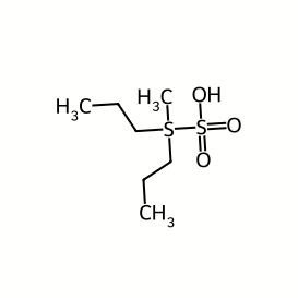 CCCS(C)(CCC)S(=O)(=O)O